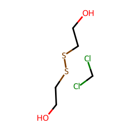 ClCCl.OCCSSCCO